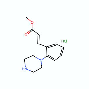 COC(=O)C=Cc1ccccc1N1CCNCC1.Cl